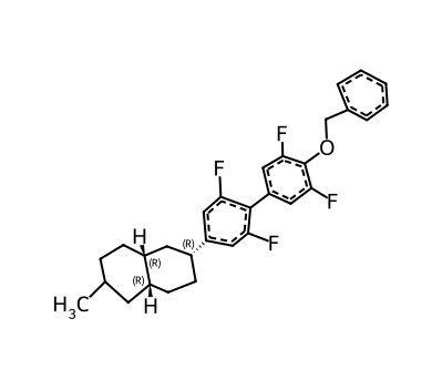 CC1CC[C@@H]2C[C@H](c3cc(F)c(-c4cc(F)c(OCc5ccccc5)c(F)c4)c(F)c3)CC[C@@H]2C1